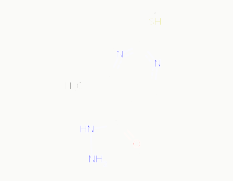 Cc1nc(S)ncc1C(=O)NN